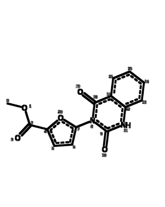 COC(=O)c1ccc(-n2c(=O)[nH]c3ccccc3c2=O)o1